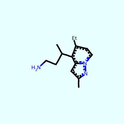 CCc1ccn2nc(C)cc2c1C(C)CCN